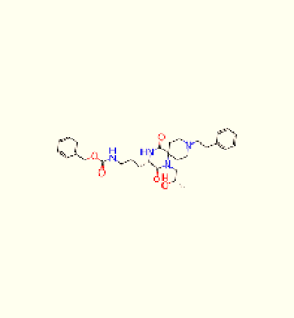 C[C@H](O)CN1C(=O)[C@H](CCCNC(=O)OCc2ccccc2)NC(=O)C12CCN(CCc1ccccc1)CC2